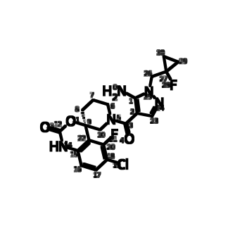 Nc1c(C(=O)N2CCC[C@@]3(C2)OC(=O)Nc2ccc(Cl)c(F)c23)cnn1CC1(F)CC1